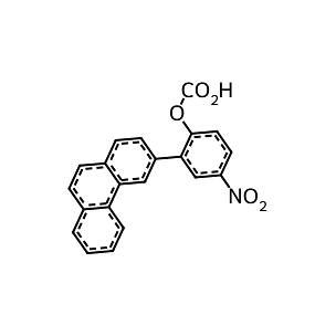 O=C(O)Oc1ccc([N+](=O)[O-])cc1-c1ccc2ccc3ccccc3c2c1